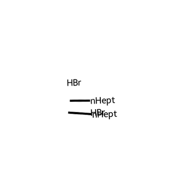 Br.Br.CCCCCCCC.CCCCCCCC